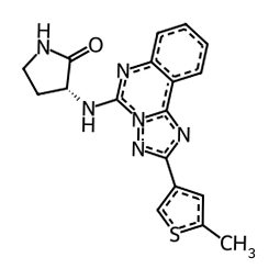 Cc1cc(-c2nc3c4ccccc4nc(N[C@@H]4CCNC4=O)n3n2)cs1